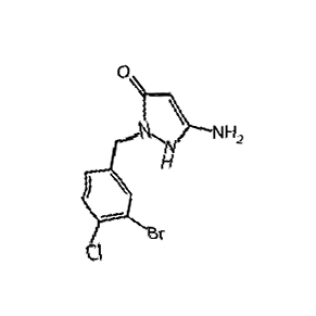 Nc1cc(=O)n(Cc2ccc(Cl)c(Br)c2)[nH]1